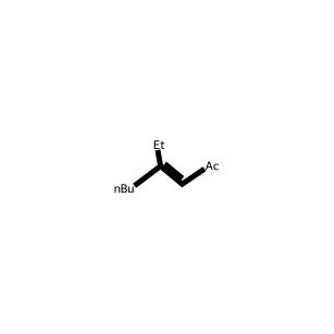 CCCC/C(=C/C(C)=O)CC